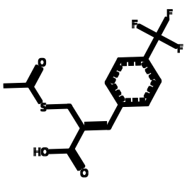 CC(=O)SCC(=Cc1ccc(C(F)(F)F)cc1)C(=O)O